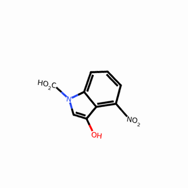 O=C(O)n1cc(O)c2c([N+](=O)[O-])cccc21